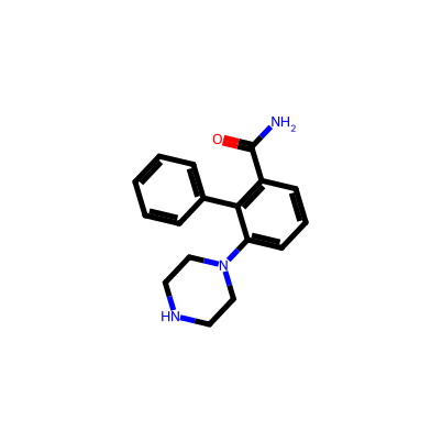 NC(=O)c1cccc(N2CCNCC2)c1-c1ccccc1